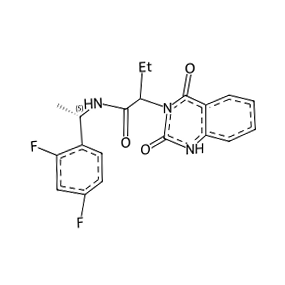 CCC(C(=O)N[C@@H](C)c1ccc(F)cc1F)n1c(=O)[nH]c2ccccc2c1=O